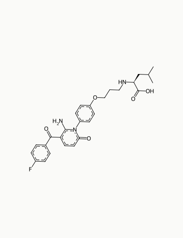 CC(C)C[C@H](NCCCOc1ccc(-n2c(N)c(C(=O)c3ccc(F)cc3)ccc2=O)cc1)C(=O)O